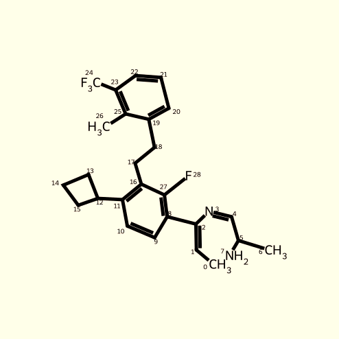 C/C=C(\N=C/C(C)N)c1ccc(C2CCC2)c(CCc2cccc(C(F)(F)F)c2C)c1F